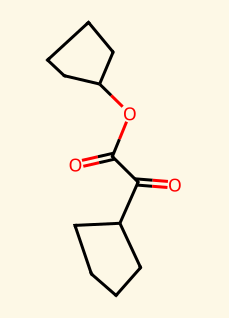 O=C(OC1CCCC1)C(=O)C1CCCC1